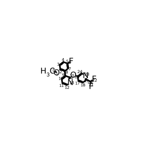 COc1ccc(F)cc1-c1cccnc1Oc1ccc(C(F)F)nc1